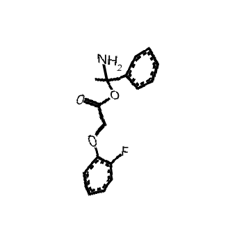 CC(N)(OC(=O)COc1ccccc1F)c1ccccc1